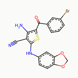 N#Cc1c(Nc2ccc3c(c2)OCO3)sc(C(=O)c2cccc(Br)c2)c1N